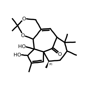 CC1=CC23C(=O)C(C=C4COC(C)(C)OC4C2(O)C1O)C(C)(C)C(C)C[C@H]3C